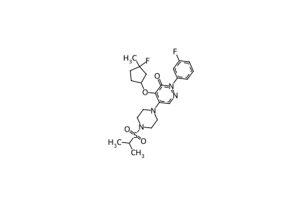 CC(C)S(=O)(=O)N1CCN(c2cnn(-c3cccc(F)c3)c(=O)c2OC2CCC(C)(F)C2)CC1